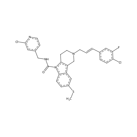 CSc1ccc2c(c1)c1c(n2C(=O)NCc2ccnc(Cl)c2)CCN(CC=Cc2ccc(Cl)c(F)c2)C1